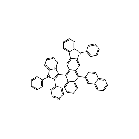 C1=CCN2C(=C1)N(c1ccccc1)C(c1ncncn1)=C2c1c2ccccc2c(-c2ccc3ccccc3c2)c2cc3c(cc12)c1ccccc1n3-c1ccccc1